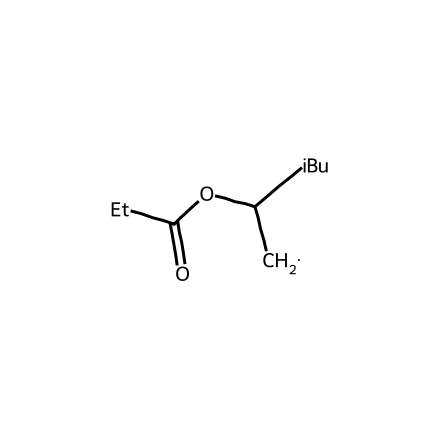 [CH2]C(OC(=O)CC)C(C)CC